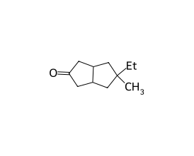 CCC1(C)CC2CC(=O)CC2C1